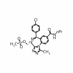 CCCNC(=O)c1ccc2c(c1)C(c1ccc(Cl)cc1)=N[C@@H](COS(C)(=O)=O)c1nnc(C)n1-2